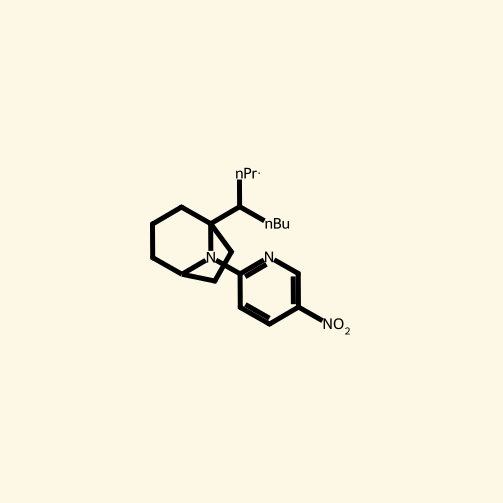 CC[CH]C(CCCC)C12CCCC(CC1)N2c1ccc([N+](=O)[O-])cn1